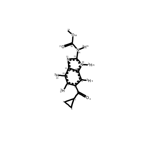 [2H]c1c(C(=O)C2CC2)c([2H])c2c(nc(N([2H])C(=O)OC)n2[2H])c1[2H]